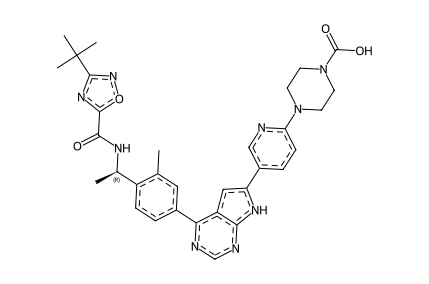 Cc1cc(-c2ncnc3[nH]c(-c4ccc(N5CCN(C(=O)O)CC5)nc4)cc23)ccc1[C@@H](C)NC(=O)c1nc(C(C)(C)C)no1